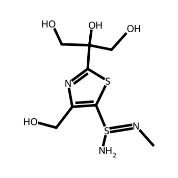 C/N=S(\N)c1sc(C(O)(CO)CO)nc1CO